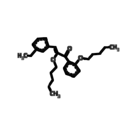 CCCCCOC(=Cc1cccc(CC)c1)C(=O)c1ccccc1OCCCCC